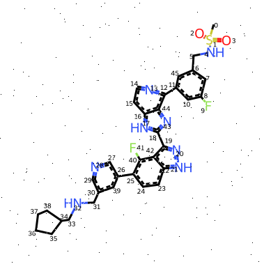 CS(=O)(=O)NCc1cc(F)cc(-c2nccc3[nH]c(-c4n[nH]c5ccc(-c6cncc(CNCC7CCCC7)c6)c(F)c45)nc23)c1